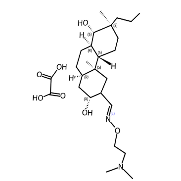 CCC[C@@]1(C)CC[C@H]2[C@@H](CC[C@@H]3C[C@@H](O)C(/C=N/OCCN(C)C)C[C@@]32C)[C@@H]1O.O=C(O)C(=O)O